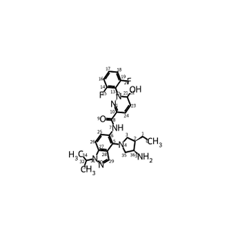 CC[C@@H]1CN(c2c(NC(=O)C3=NN(c4c(F)cccc4F)C(O)C=C3)ccc3c2cnn3C(C)C)C[C@@H]1N